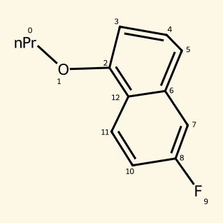 CCCOc1cccc2cc(F)ccc12